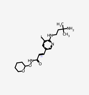 CC(C)(N)CCNc1ncc(/C=C/C(=O)NOC2CCCCO2)cc1I